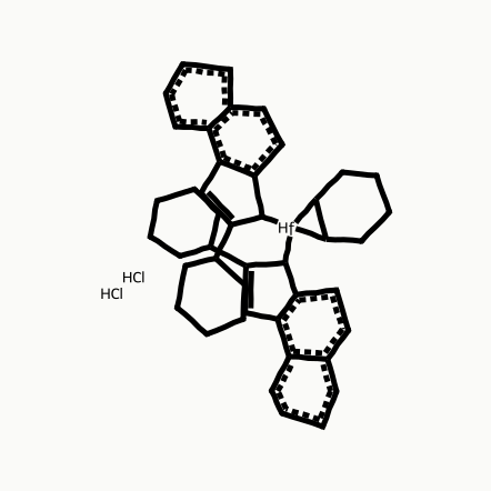 C1=C(C2CCCCC2)[CH]([Hf]2([CH]3C(C4CCCCC4)=Cc4c3ccc3ccccc43)[CH]3CCCC[CH]32)c2ccc3ccccc3c21.Cl.Cl